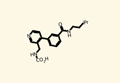 CC(C)CCNC(=O)c1cccc(-c2ccncc2CNC(=O)O)c1